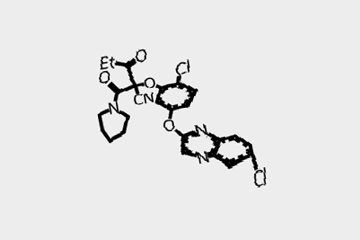 CCC(=O)C(C#N)(Oc1cc(Oc2cnc3cc(Cl)ccc3n2)ccc1Cl)C(=O)N1CCCCC1